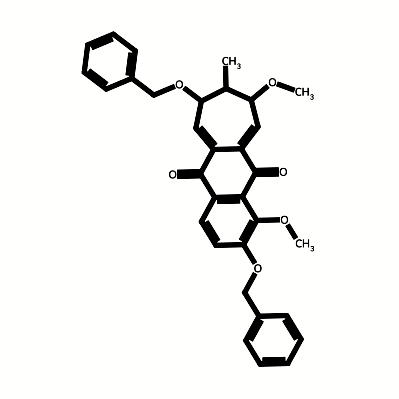 COc1c(OCc2ccccc2)ccc2c1C(=O)C1=CC(OC)C(C)C(OCc3ccccc3)C=C1C2=O